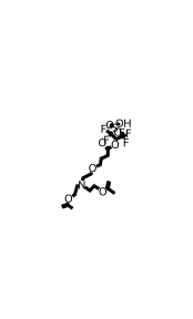 C=C(C)OCCN(CCOCCCC(=O)OC(C(F)(F)F)C(F)(F)S(=O)(=O)O)CCOC(=C)C